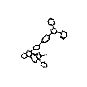 CCc1nc2c3c(-c4ccc(-c5ccc(-c6cc(-c7ccccc7)nc(-c7ccccc7)n6)cc5)cc4)nc4ccccc4c3ccc2n1-c1ccccc1